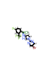 Cl.Fc1ccc(CNC2CCN(c3ncc(Br)cn3)C2)c(C(F)(F)F)c1